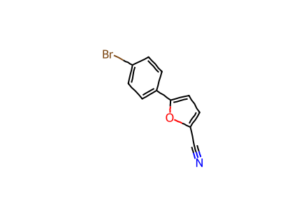 N#Cc1ccc(-c2ccc(Br)cc2)o1